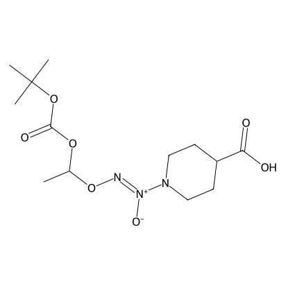 CC(O/N=[N+](\[O-])N1CCC(C(=O)O)CC1)OC(=O)OC(C)(C)C